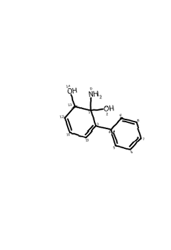 NC1(O)C(c2ccccc2)=CC=CC1O